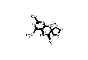 Cc1nc(Cl)nc2c1NC(=O)C1(CCOC1)N2C